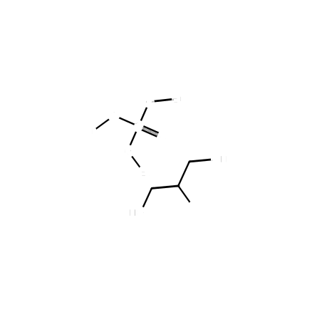 CCOP(=O)(OCC)OCC.OCC(O)CO